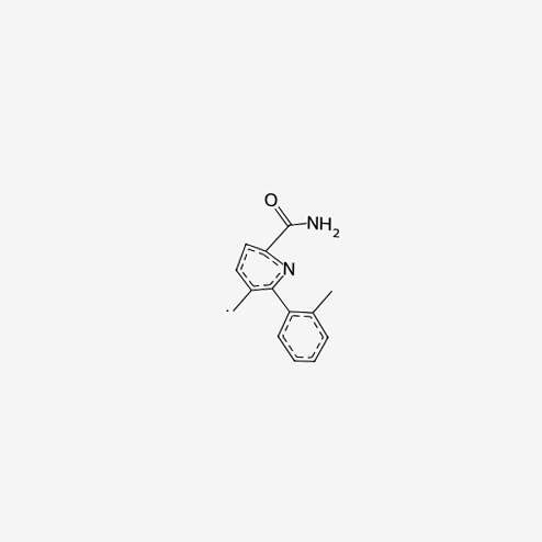 [CH2]c1ccc(C(N)=O)nc1-c1ccccc1C